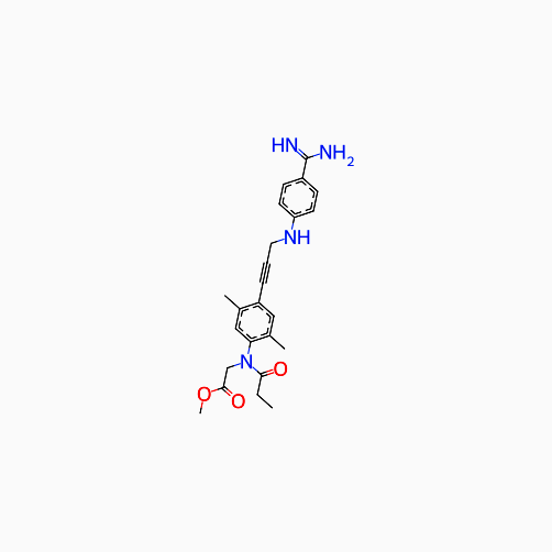 CCC(=O)N(CC(=O)OC)c1cc(C)c(C#CCNc2ccc(C(=N)N)cc2)cc1C